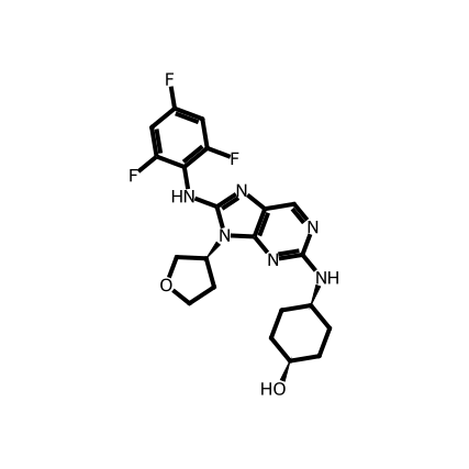 O[C@H]1CC[C@@H](Nc2ncc3nc(Nc4c(F)cc(F)cc4F)n([C@H]4CCOC4)c3n2)CC1